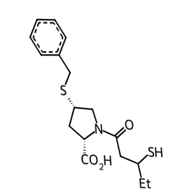 CCC(S)CC(=O)N1C[C@@H](SCc2ccccc2)C[C@H]1C(=O)O